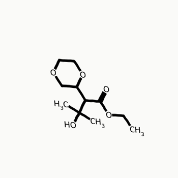 CCOC(=O)C(C1COCCO1)C(C)(C)O